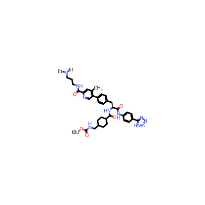 CCN(CC)CCCNC(=O)c1cc(C)c(-c2ccc(C[C@H](NC(=O)C3CCC(CNC(=O)OC(C)(C)C)CC3)C(=O)Nc3ccc(-c4nnn[nH]4)cc3)cc2)cn1